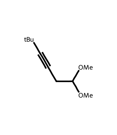 COC(CC#CC(C)(C)C)OC